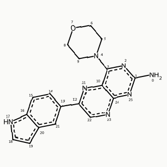 Nc1nc(N2CCOCC2)c2nc(-c3ccc4[nH]ccc4c3)cnc2n1